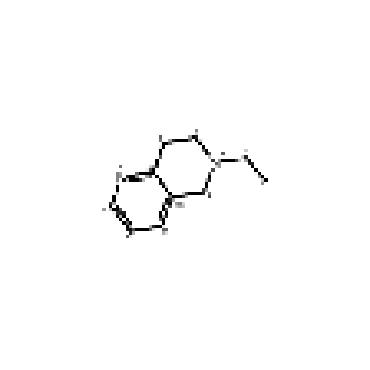 CCN1CCc2ncccc2C1